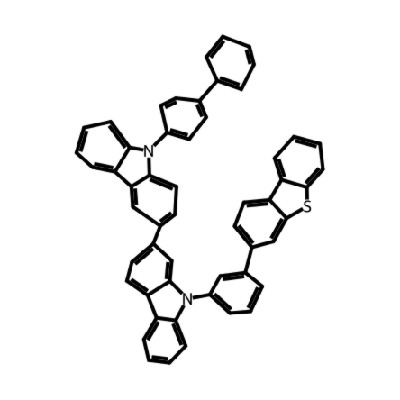 c1ccc(-c2ccc(-n3c4ccccc4c4cc(-c5ccc6c7ccccc7n(-c7cccc(-c8ccc9c(c8)sc8ccccc89)c7)c6c5)ccc43)cc2)cc1